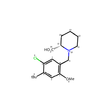 COc1cc(C(C)(C)C)c(Cl)cc1CN1CCCC[C@H]1C(=O)O